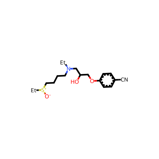 CCN(CCCC[S+]([O-])CC)CC(O)COc1ccc(C#N)cc1